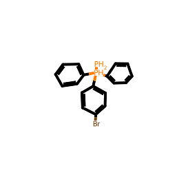 P[PH](c1ccccc1)(c1ccccc1)c1ccc(Br)cc1